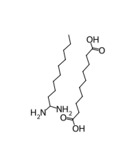 CCCCCCCCCC(N)N.O=C(O)CCCCCCCCC(=O)O